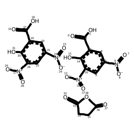 O=C(O)c1cc([N+](=O)[O-])cc([N+](=O)[O-])c1O.O=C(O)c1cc([N+](=O)[O-])cc([N+](=O)[O-])c1O.O=C1CCC(=O)O1